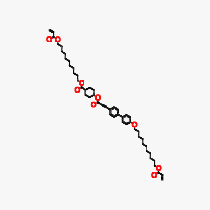 C=CC(=O)OCCCCCCCCCCCOC(=O)C1CCC(OC(=O)C#Cc2ccc(-c3ccc(OCCCCCCCCCCCOC(=O)C=C)cc3)cc2)CC1